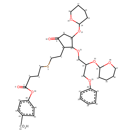 O=C(CCCSCCC1C(=O)CC(OC2CCCCO2)C1OCC(COc1ccccc1)OC1CCCCO1)Oc1ccc(C(=O)O)cc1